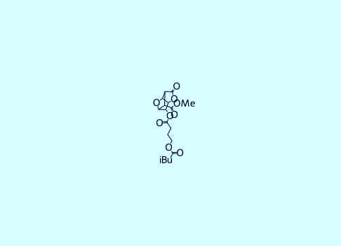 CCC(C)C(=O)OCCCC(=O)OC1C2OC(=O)C3C2OC1C3C(=O)OC